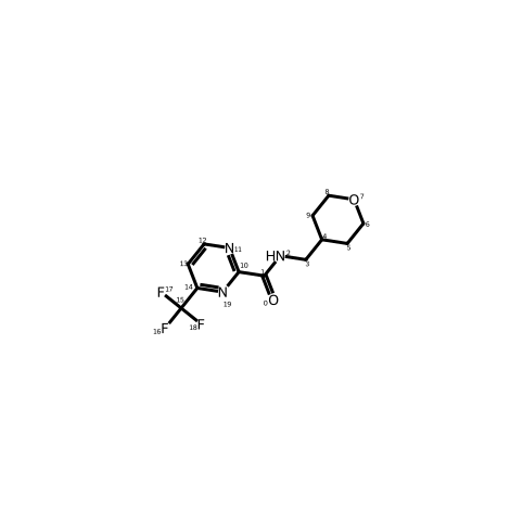 O=C(NCC1CCOCC1)c1nccc(C(F)(F)F)n1